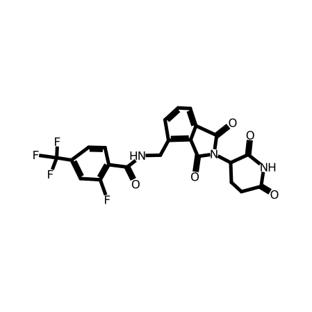 O=C1CCC(N2C(=O)c3cccc(CNC(=O)c4ccc(C(F)(F)F)cc4F)c3C2=O)C(=O)N1